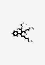 CCCCCC(=C(C(=O)OCC)C(=O)OCC)c1ccccc1